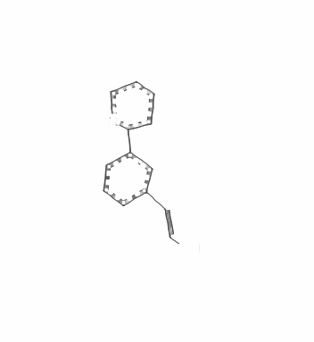 [CH2]/C=C/c1cccc(-c2ccccn2)c1